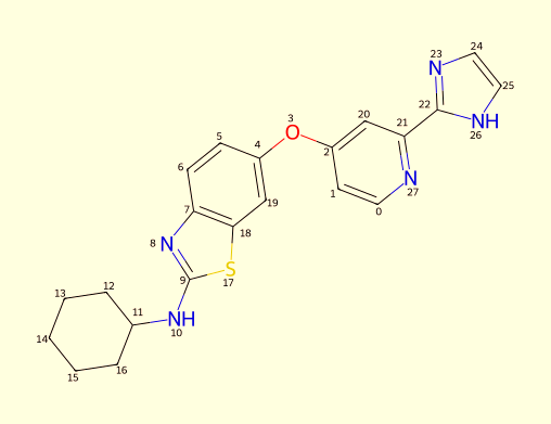 c1cc(Oc2ccc3nc(NC4CCCCC4)sc3c2)cc(-c2ncc[nH]2)n1